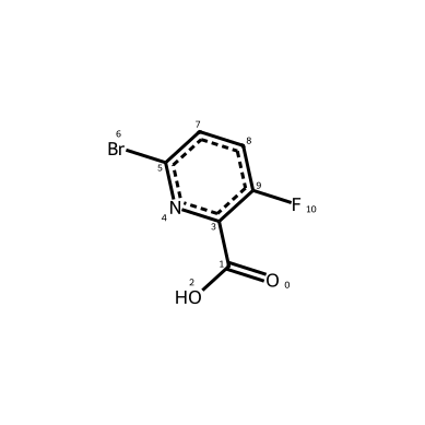 O=C(O)c1nc(Br)ccc1F